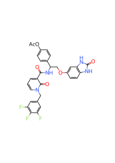 CC(=O)Oc1ccc(C(COc2ccc3[nH]c(=O)[nH]c3c2)NC(=O)c2cccn(Cc3cc(F)c(F)c(F)c3)c2=O)cc1